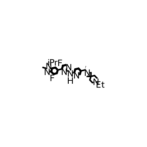 CCN1CCC2(CC1)CN([C@@H](C)c1ccc(Nc3ncc(F)c(-c4cc(F)c5nc(C)n(C(C)C)c5c4)n3)nc1)C2